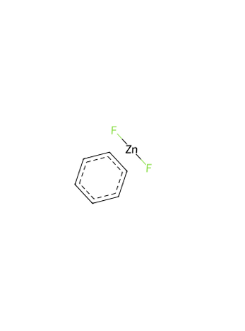 [F][Zn][F].c1ccccc1